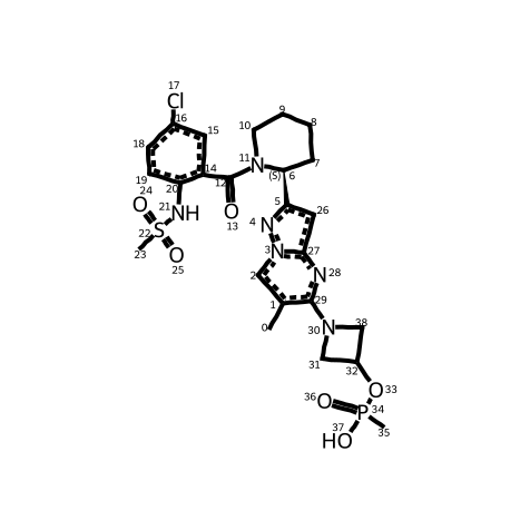 Cc1cn2nc([C@@H]3CCCCN3C(=O)c3cc(Cl)ccc3NS(C)(=O)=O)cc2nc1N1CC(OP(C)(=O)O)C1